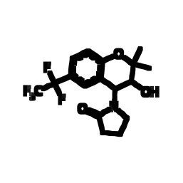 CC1(C)Oc2ccc(C(F)(F)C(F)(F)F)cc2C(N2CCCC2=O)C1O